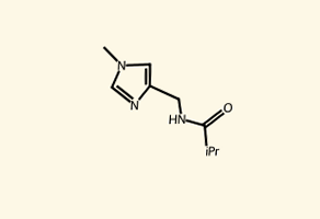 CC(C)C(=O)NCc1cn(C)cn1